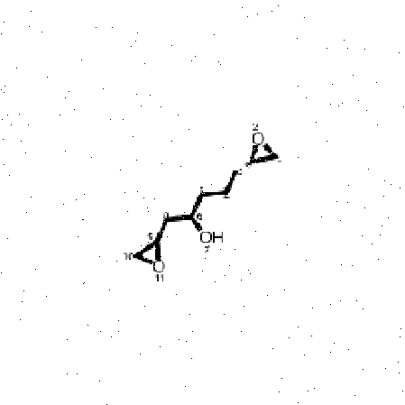 C1CO1.CCCC(O)CC1CO1